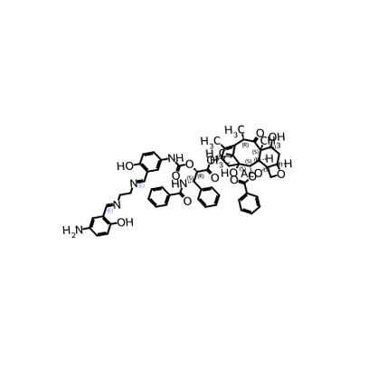 CC(=O)O[C@@]12CO[C@@H]1C[C@H](O)[C@@]1(C)C(=O)[C@H](C)C3=C(C)[C@@H](OC(=O)[C@H](OC(=O)Nc4ccc(O)c(/C=N/CC/N=C/c5cc(N)ccc5O)c4)[C@@H](NC(=O)c4ccccc4)c4ccccc4)C[C@@](O)([C@@H](OC(=O)c4ccccc4)[C@H]21)C3(C)C